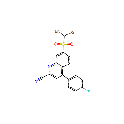 N#Cc1cc(-c2ccc(F)cc2)c2ccc(S(=O)(=O)C(Br)Br)cc2n1